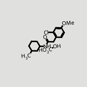 COc1ccc(CC(=O)NC2CCCC(C)C2)c(Cl)c1.O=C(O)O